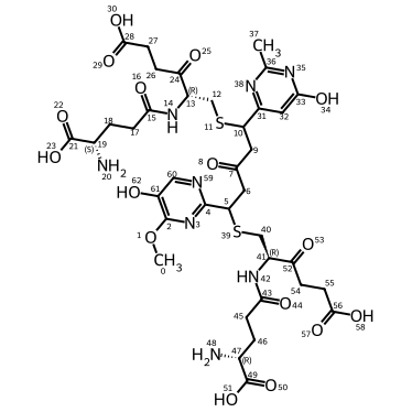 COc1nc(C(CC(=O)CC(SC[C@H](NC(=O)CC[C@H](N)C(=O)O)C(=O)CCC(=O)O)c2cc(O)nc(C)n2)SC[C@H](NC(=O)CC[C@@H](N)C(=O)O)C(=O)CCC(=O)O)ncc1O